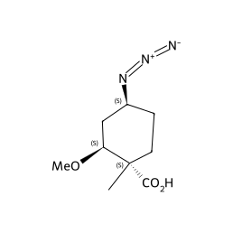 CO[C@H]1C[C@@H](N=[N+]=[N-])CC[C@]1(C)C(=O)O